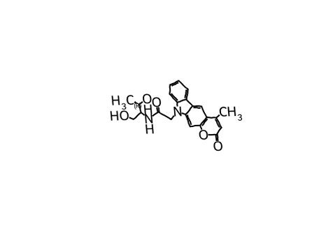 Cc1cc(=O)oc2cc3c(cc12)c1ccccc1n3CC(=O)NC(CO)[C@@H](C)O